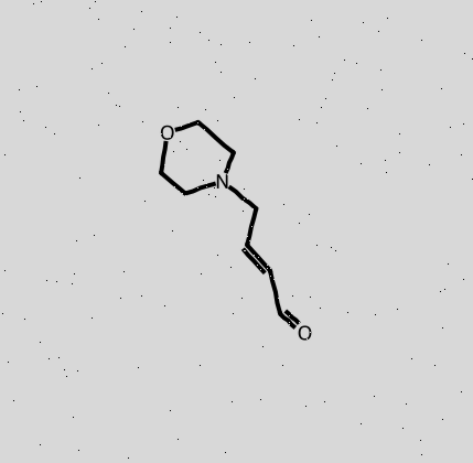 O=C/C=C/CN1CCOCC1